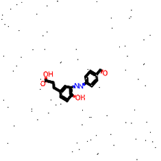 O=Cc1ccc(N=Nc2cc(CCC(=O)O)ccc2O)cc1